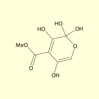 COC(=O)C1=C(O)C(O)(O)OC=C1O